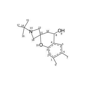 Cc1cc2c(cc1C)C(O)CC1(CN(C(C)(C)C)C1)O2